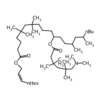 CCCCCC/C=C\COC(=O)CCCC(C)(C)CC(C)(C)CCCC(CCC(C)CC(C)CCCC)OC(=O)CC(C)(C)CC(C)(C)CN(C)C